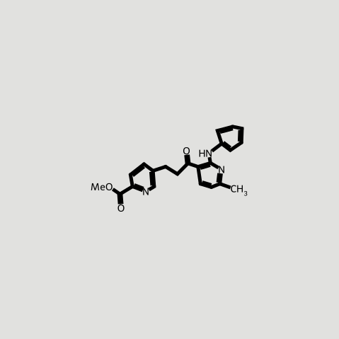 COC(=O)c1ccc(CCC(=O)c2ccc(C)nc2Nc2ccccc2)cn1